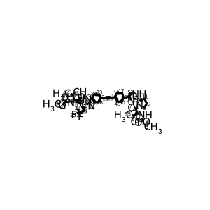 COC(=O)N[C@H](C(=O)N1CCC[C@H]1c1nc(-c2ccc(C#Cc3ccc4[nH]c([C@@H]5CC(F)(F)CN5C(=O)[C@@H](NC(=O)OC)C(C)C)nc4c3)cc2)c[nH]1)C(C)C